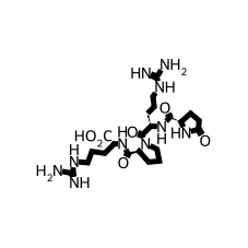 N=C(N)NCCC[C@H](NC(=O)[C@@H]1CCCN1C(=O)[C@H](CCCNC(=N)N)NC(=O)[C@@H]1CCC(=O)N1)C(=O)O